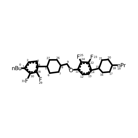 CCCCc1ccc(C2CCC(COc3ccc(C4CCC(CCC)CC4)c(F)c3F)CC2)c(F)c1F